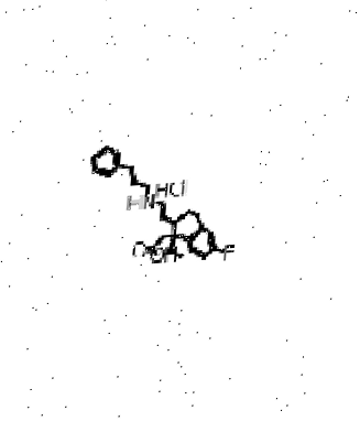 CC(C)C1(CC(=O)O)c2ccc(F)cc2CCC1CCNCCCc1ccccc1.Cl